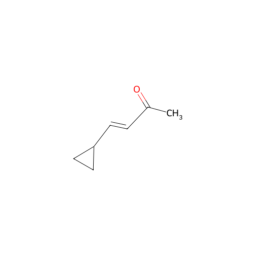 CC(=O)/C=C/C1CC1